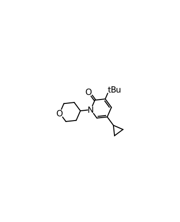 CC(C)(C)c1cc(C2CC2)cn(C2CCOCC2)c1=O